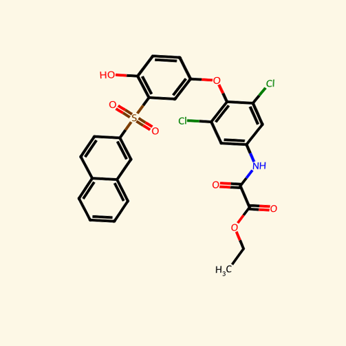 CCOC(=O)C(=O)Nc1cc(Cl)c(Oc2ccc(O)c(S(=O)(=O)c3ccc4ccccc4c3)c2)c(Cl)c1